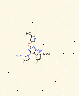 CNc1cc(F)cc2c1[nH]c1nc(Oc3cncc(C#N)c3)nc(N3CCC(C)(CN)C3)c12